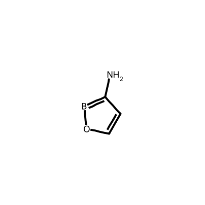 Nc1bocc1